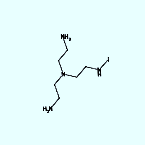 NCCN(CCN)CCNI